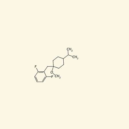 COC1(Cc2c(F)cccc2F)CCC(C(C)C)CC1